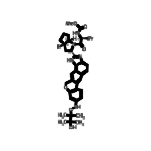 COC(=O)N[C@H](C(=O)N1[C@H](c2nc3ccc4cc5c(cc4c3[nH]2)COc2cc(BOC(C)(C)C(C)(C)O)ccc2-5)C[C@@H]2CCC[C@@H]21)C(C)C